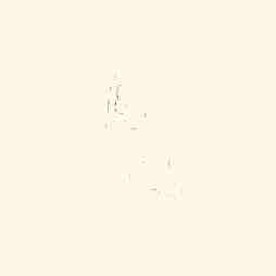 c1ccc(C2(c3ccc(-n4c5ccccc5c5ccccc54)nc3)c3ccccc3-c3cc(-c4ccc5c(c4)-c4ccccc4C5(c4ccccc4)c4ccc5oc6ccccc6c5c4)ccc32)cc1